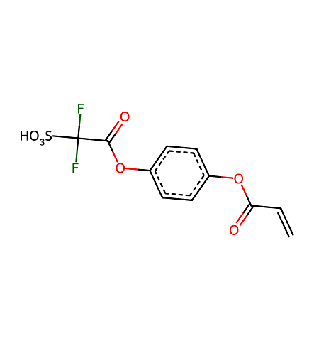 C=CC(=O)Oc1ccc(OC(=O)C(F)(F)S(=O)(=O)O)cc1